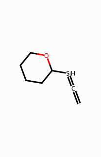 C=C=[SiH]C1CCCCO1